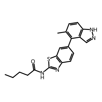 CCCCC(=O)Nc1nc2ccc(-c3c(C)ccc4[nH]ncc34)cc2s1